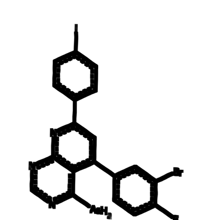 Fc1ccc(-c2cc(-c3ccc(I)cc3)nc3ncnc([AsH2])c23)cc1Br